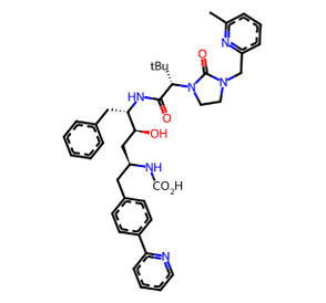 Cc1cccc(CN2CCN([C@H](C(=O)N[C@@H](Cc3ccccc3)[C@@H](O)C[C@H](Cc3ccc(-c4ccccn4)cc3)NC(=O)O)C(C)(C)C)C2=O)n1